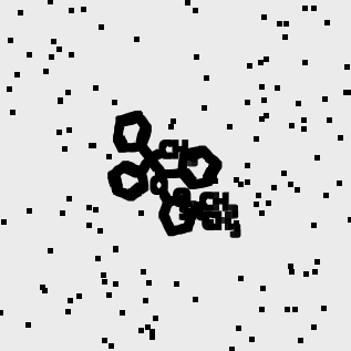 CC(c1ccccc1)(c1ccccc1)C(OC1CCC[Si](C)(C)O1)c1ccccc1